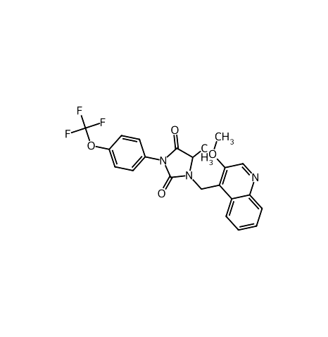 COc1cnc2ccccc2c1CN1C(=O)N(c2ccc(OC(F)(F)F)cc2)C(=O)C1C